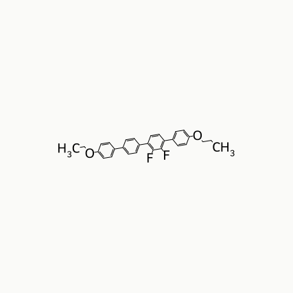 CCCOc1ccc(-c2ccc(-c3ccc(-c4ccc(OCC)cc4)cc3)c(F)c2F)cc1